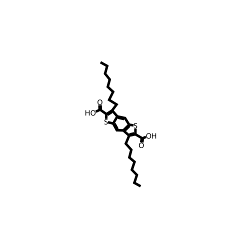 CCCCCCCCc1c(C(=O)O)sc2cc3c(CCCCCCCC)c(C(=O)O)sc3cc12